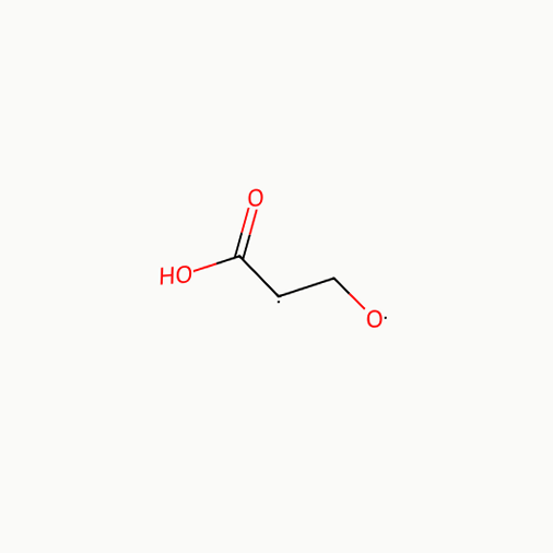 [O]C[CH]C(=O)O